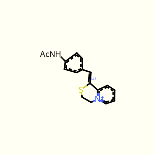 CC(=O)Nc1ccc(/C=C2\SCC[n+]3ccccc32)cc1